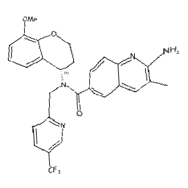 COc1cccc2c1OCC[C@@H]2N(Cc1ccc(C(F)(F)F)cn1)C(=O)c1ccc2nc(N)c(C)cc2c1